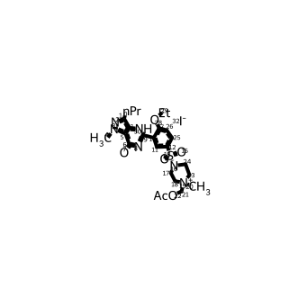 CCCc1nn(C)c2c(=O)nc(-c3cc(S(=O)(=O)N4CC[N+](C)(COC(C)=O)CC4)ccc3OCC)[nH]c12.[I-]